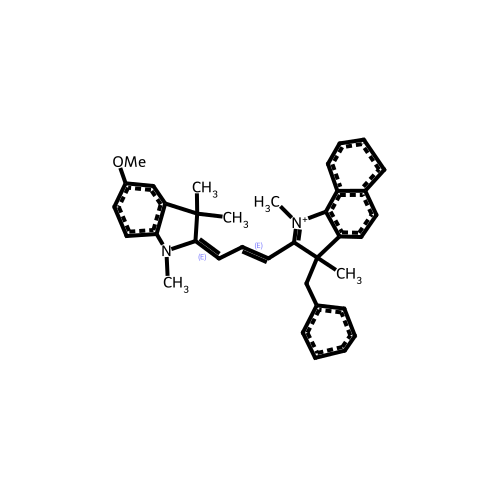 COc1ccc2c(c1)C(C)(C)/C(=C\C=C\C1=[N+](C)c3c(ccc4ccccc34)C1(C)Cc1ccccc1)N2C